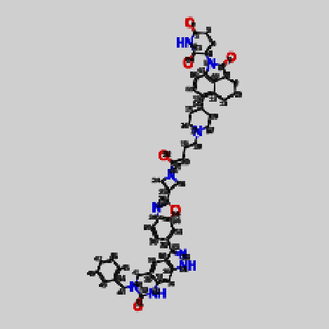 O=C1CCC(N2C(=O)C3CCCc4c(C5CCN(CCCC(=O)N6CC(c7nc8ccc(-c9n[nH]c%10cc%11c(cc9%10)CN(Cc9ccccc9)C(=O)N%11)cc8o7)C6)CC5)ccc2c43)C(=O)N1